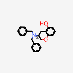 Oc1cccc2c1C[C@H](N(Cc1ccccc1)Cc1ccccc1)CO2